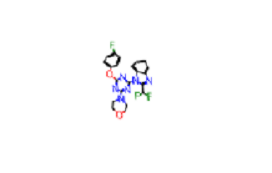 Fc1ccc(Oc2nc(N3CCOCC3)nc(-n3c(C(F)F)nc4ccccc43)n2)cc1